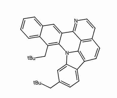 CC(C)(C)Cc1ccc2c3ccc4ccnc5c6cc7ccccc7c(CC(C)(C)C)c6n(c2c1)c3c45